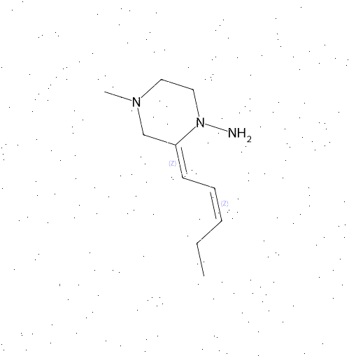 CC/C=C\C=C1\CN(C)CCN1N